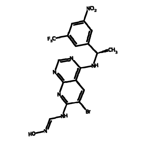 C[C@@H](Nc1ncnc2nc(N/C=N/O)c(Br)cc12)c1cc([N+](=O)[O-])cc(C(F)(F)F)c1